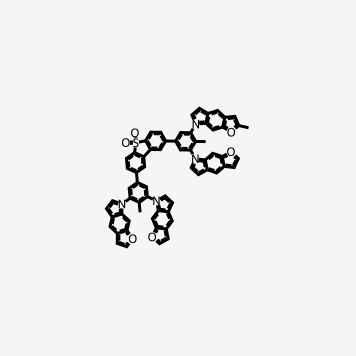 Cc1cc2cc3ccn(-c4cc(-c5ccc6c(c5)-c5cc(-c7cc(-n8ccc9cc%10ccoc%10cc98)c(C)c(-n8ccc9cc%10ccoc%10cc98)c7)ccc5S6(=O)=O)cc(-n5ccc6cc7ccoc7cc65)c4C)c3cc2o1